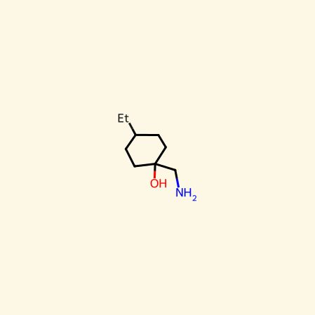 CCC1CCC(O)(CN)CC1